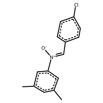 Cc1cc(C)cc([N+]([O-])=Cc2ccc(Cl)cc2)c1